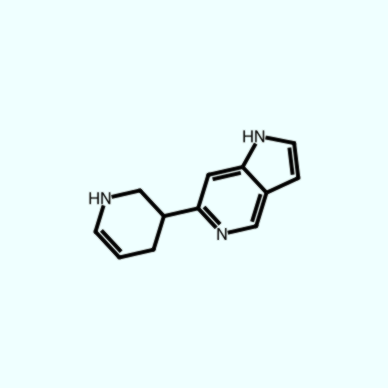 C1=CNCC(c2cc3[nH]ccc3cn2)C1